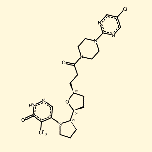 O=C(CC[C@H]1CC[C@@H]([C@@H]2CCCN2c2cn[nH]c(=O)c2C(F)(F)F)O1)N1CCN(c2ncc(Cl)cn2)CC1